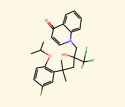 CC(C)Oc1ccc(F)cc1C(C)(C)CC(O)(Cn1ccc(=O)c2ccccc21)C(F)(F)F